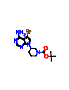 CC(C)(C)OC(=O)N1CCCC(n2cc(Br)c3c(N)ncnc32)C1